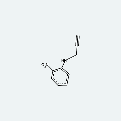 C#CCNc1ccccc1[N+](=O)[O-]